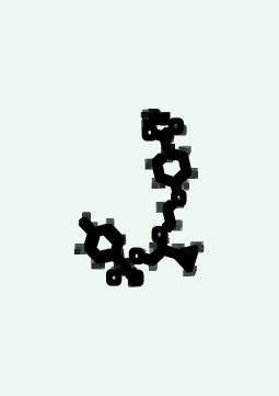 Cc1ccc(S(=O)(=O)OCC(OCCOC2CCN(C(=O)OC(C)(C)C)CC2)C2CC2)cc1